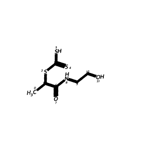 CC(SC(=S)S)C(=O)NCCO